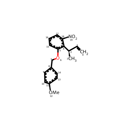 C=C[C@@H](C)c1c(OCc2ccc(OC)cc2)cccc1[N+](=O)[O-]